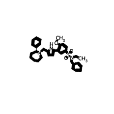 CCN(Cc1ccccc1)S(=O)(=O)c1ccc(OC)c(-c2ccc(CN3CCCCC[C@@H]3c3ccccc3)[nH]2)c1